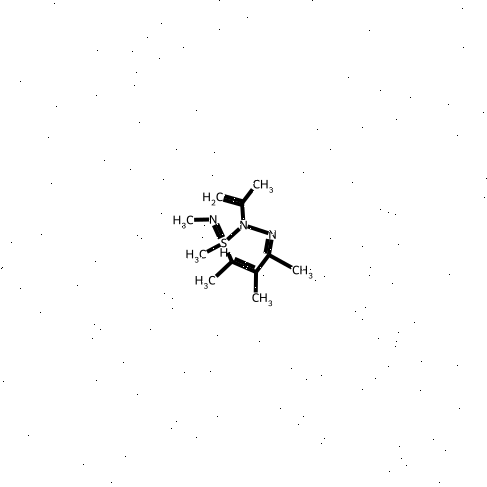 C=C(C)N1N=C(C)C(C)=C(C)[SH]1(C)=NC